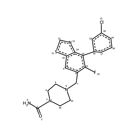 NC(=O)N1CCN(Cc2cc3scnc3c(-c3cccc(Cl)c3)c2F)CC1